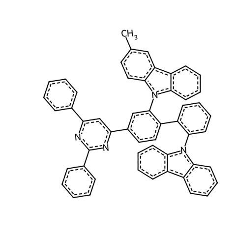 Cc1ccc2c(c1)c1ccccc1n2-c1cc(-c2cc(-c3ccccc3)nc(-c3ccccc3)n2)ccc1-c1ccccc1-n1c2ccccc2c2ccccc21